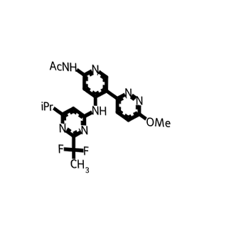 COc1ccc(-c2cnc(NC(C)=O)cc2Nc2cc(C(C)C)nc(C(C)(F)F)n2)nn1